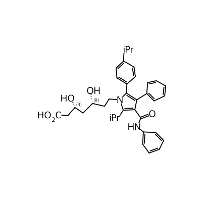 CC(C)c1ccc(-c2c(-c3ccccc3)c(C(=O)Nc3ccccc3)c(C(C)C)n2CC[C@@H](O)C[C@@H](O)CC(=O)O)cc1